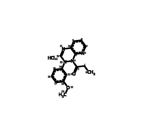 CCC(=O)N1c2ncccc2N=CN1c1cccc(OC)c1.Cl